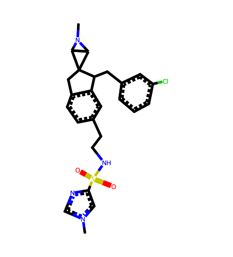 CN1C2C1C21Cc2ccc(CCNS(=O)(=O)c3cn(C)cn3)cc2C1Cc1cccc(Cl)c1